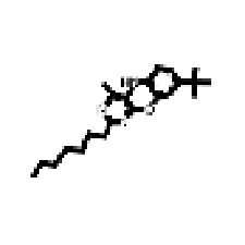 CCCCCCCc1nc(C)c2c(n1)Oc1cc(C(C)(C)C)ccc1N2